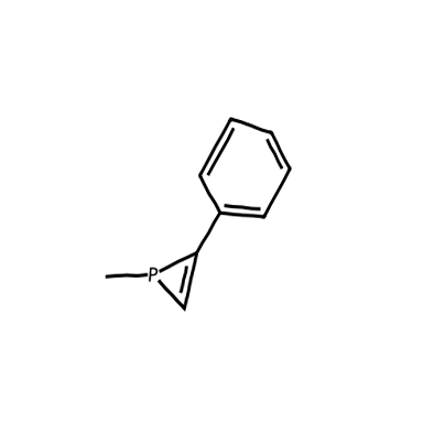 CP1C=C1c1ccccc1